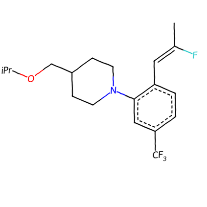 C/C(F)=C/c1ccc(C(F)(F)F)cc1N1CCC(COC(C)C)CC1